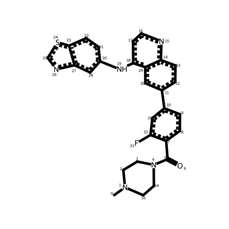 CN1CCN(C(=O)c2ccc(-c3ccc4nccc(Nc5ccc6scnc6c5)c4c3)cc2F)CC1